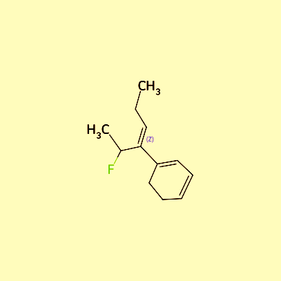 CC/C=C(/C1=CC=CCC1)C(C)F